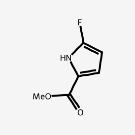 COC(=O)c1ccc(F)[nH]1